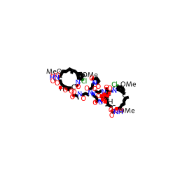 COc1cc2cc(c1Cl)N(C)C(=O)C[C@H](OOC(=O)[C@H](C)N(C)C(=O)CCN(C(=O)CCN1C(=O)C=CC1=O)N(CCC(=O)N(C)[C@@H](C)C(=O)O[C@H]1CC(=O)N(C)c3cc(cc(OC)c3Cl)C/C(C)=C/C=C/[C@@H](OC)[C@@]3(O)CC(OC(=O)N3)[C@@H](C)[C@H]3OC13C)C(=O)CCN1C(=O)C=CC1=O)C1(C)O[C@@H]1[C@H](C)C1C[C@@](O)(NC(=O)O1)[C@H](OC)/C=C/C=C(\C)C2